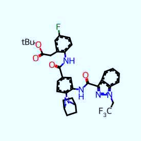 CC(C)(C)OC(=O)Cc1cc(F)ccc1NC(=O)c1ccc(N2C3CCC2CC3)c(NC(=O)c2nn(CC(F)(F)F)c3ccccc23)c1